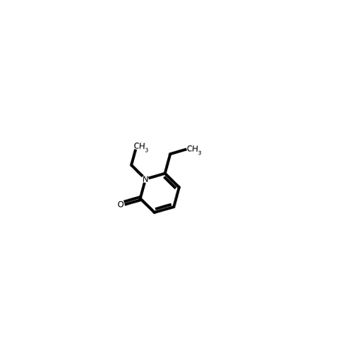 CCc1cccc(=O)n1CC